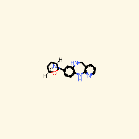 c1cnc2c(c1)CNc1cc(N3C[C@@H]4CC[C@H]3CO4)ccc1N2